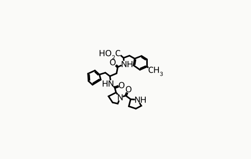 Cc1ccc(CC(NC(=O)CC(Cc2ccccc2)NC(=O)C2CCCN2C(=O)C2CCCN2)C(=O)O)cc1